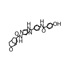 O=C(Nc1ccc(-c2nc3cc(NC(=O)C45CC6CCC(=O)C(C4)C(C6)C5)ncc3[nH]2)cc1)c1ccc(O)cc1